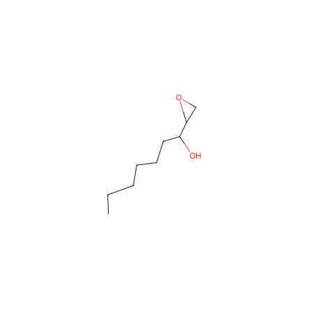 CCCCCCC(O)C1CO1